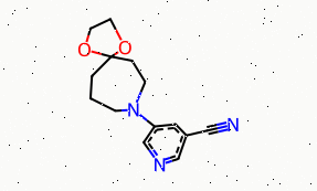 N#Cc1cncc(N2CCCC3(CC2)OCCO3)c1